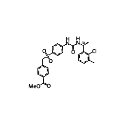 COC(=O)c1ccc(CS(=O)(=O)c2ccc(NC(=O)N[C@@H](C)c3cccc(C)c3Cl)cc2)cc1